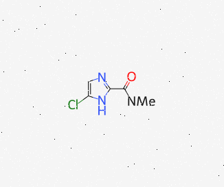 CNC(=O)c1ncc(Cl)[nH]1